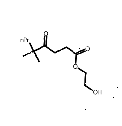 CCCC(C)(C)C(=O)CCC(=O)OCCO